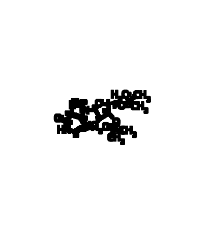 CC(C)(C)OC[C@H]1OC(n2[13cH]nc3c(=O)[nH]cnc32)[C@H](O)C1OC(C)(C)C